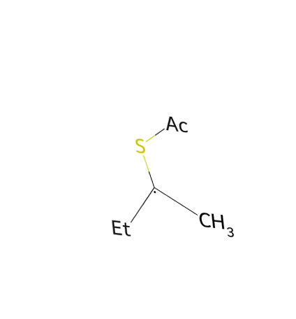 CC[C](C)SC(C)=O